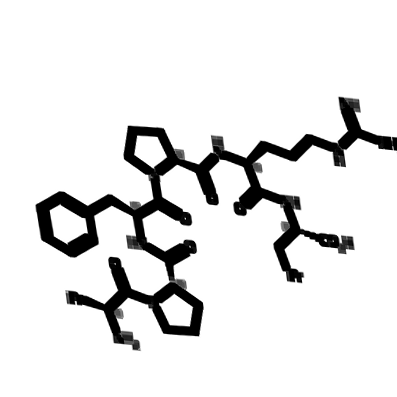 CC(C)C[C@H](NC(=O)[C@H](CCCNC(=N)N)NC(=O)[C@@H]1CCCN1C(=O)[C@H](Cc1ccccc1)NC(=O)[C@@H]1CCCN1C(=O)[C@@H](N)C(C)C)C(=O)O